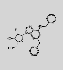 OC[C@H]1O[C@@H](n2cnc3c(NCc4ccccc4)nc(Cc4ccccc4)nc32)[C@@H](F)[C@@H]1O